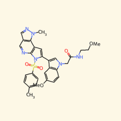 COCCNC(=O)Cn1cc(-c2cc3c4c(cnc3n2S(=O)(=O)c2ccc(C)cc2)cnn4C)c2cc(OC)ccc21